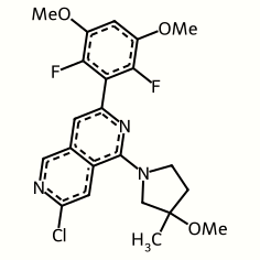 COc1cc(OC)c(F)c(-c2cc3cnc(Cl)cc3c(N3CCC(C)(OC)C3)n2)c1F